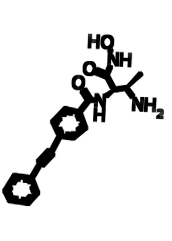 C[C@@H](N)[C@@H](NC(=O)c1ccc(C#Cc2ccccc2)cc1)C(=O)NO